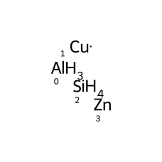 [AlH3].[Cu].[SiH4].[Zn]